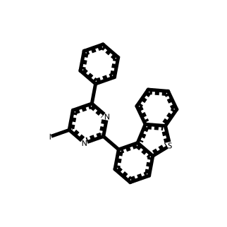 Ic1cc(-c2ccccc2)nc(-c2cccc3sc4ccccc4c23)n1